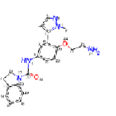 Cn1nccc1-c1cc(NC(=O)N2CCc3ccccc32)ccc1OCCN